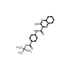 CC(C)(C)OC(=O)c1ccc(NC(=O)c2nc3ccccc3nc2Cl)cc1